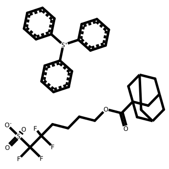 O=C(OCCCCC(F)(F)C(F)(F)S(=O)(=O)[O-])C12CC3CC(CC(C3)C1)C2.c1ccc([S+](c2ccccc2)c2ccccc2)cc1